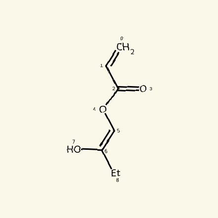 C=CC(=O)OC=C(O)CC